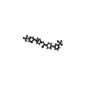 O=C(CN1CC2CC1CN2c1ccc(C(F)(F)F)cn1)N1CC=C(c2cccc(C(F)(F)F)c2)CC1